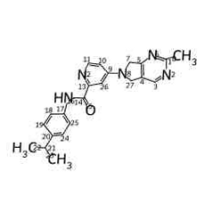 Cc1ncc2c(n1)CN(c1ccnc(C(=O)Nc3ccc(C(C)C)cc3)c1)C2